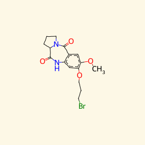 COc1cc2c(cc1OCCCBr)NC(=O)C1CCCN1C2=O